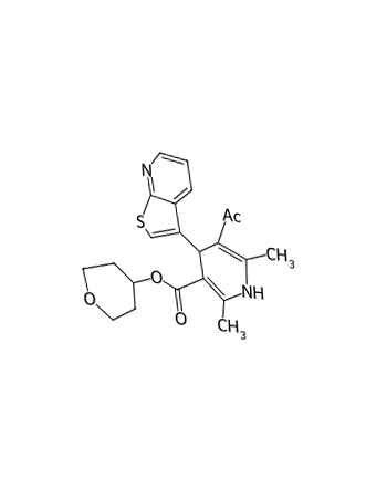 CC(=O)C1=C(C)NC(C)=C(C(=O)OC2CCOCC2)C1c1csc2ncccc12